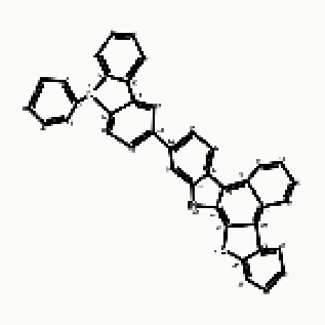 c1ccc(-n2c3ccccc3c3cc(-c4ccc5c(c4)[nH]c4c6sc7ccccc7c6c6ccccc6c54)ccc32)cc1